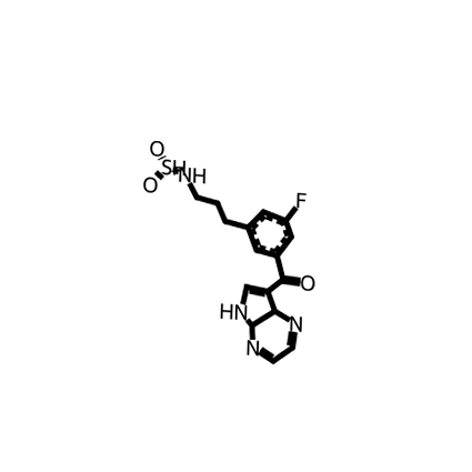 O=C(C1=CNC2N=CC=NC12)c1cc(F)cc(CCCN[SH](=O)=O)c1